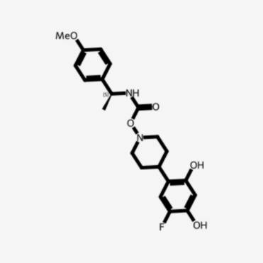 COc1ccc([C@H](C)NC(=O)ON2CCC(c3cc(F)c(O)cc3O)CC2)cc1